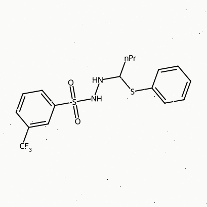 CCCC(NNS(=O)(=O)c1cccc(C(F)(F)F)c1)Sc1ccccc1